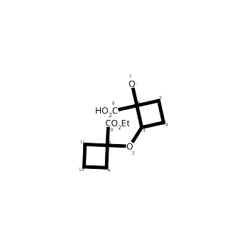 CCOC(=O)C1(OC2CCC2([O])C(=O)O)CCC1